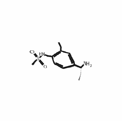 Cc1cc([C@@H](C)N)ccc1NS(C)(=O)=O